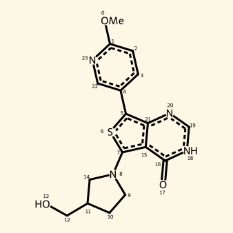 COc1ccc(-c2sc(N3CCC(CO)C3)c3c(=O)[nH]cnc23)cn1